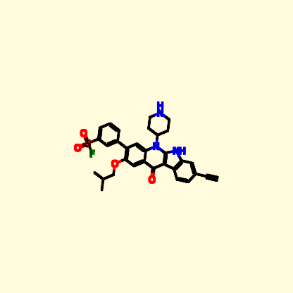 C#Cc1ccc2c(c1)[nH]c1c2c(=O)c2cc(OCC(C)C)c(-c3cccc(S(=O)(=O)F)c3)cc2n1C1CCNCC1